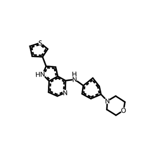 c1cc2[nH]c(-c3ccsc3)cc2c(Nc2ccc(N3CCOCC3)cc2)n1